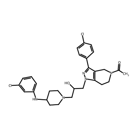 CC(=O)N1CCc2c(c(-c3ccc(Cl)cc3)nn2CC(O)CN2CCC(Nc3cccc(Cl)c3)CC2)C1